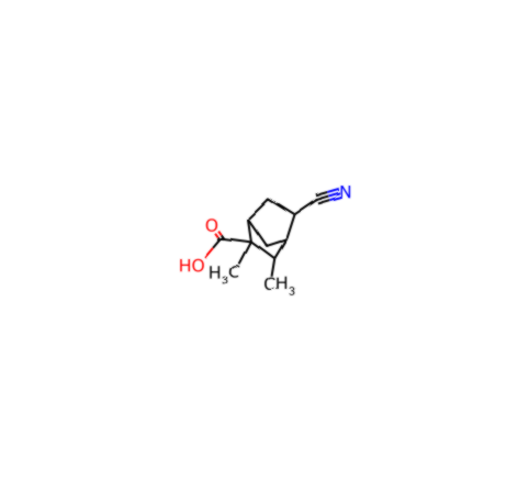 CC1C2CC(CC2C#N)C1(C)C(=O)O